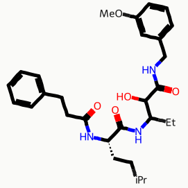 CCC(NC(=O)[C@H](CCC(C)C)NC(=O)CCc1ccccc1)C(O)C(=O)NCc1cccc(OC)c1